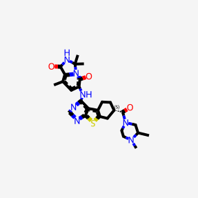 Cc1cc(Nc2ncnc3sc4c(c23)CC[C@H](C(=O)N2CCN(C)C(C)C2)C4)c(=O)n2c1C(=O)NC2(C)C